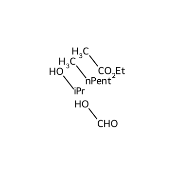 CC(C)O.CCCCCC.CCOC(C)=O.O=CO